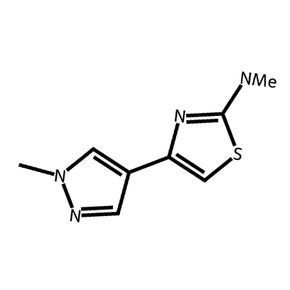 CNc1nc(-c2cnn(C)c2)cs1